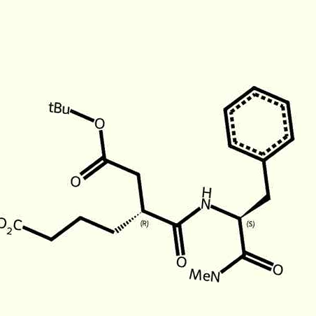 CNC(=O)[C@H](Cc1ccccc1)NC(=O)[C@H](CCCC(=O)O)CC(=O)OC(C)(C)C